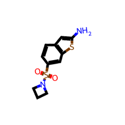 Nc1cc2ccc(S(=O)(=O)N3CCC3)cc2s1